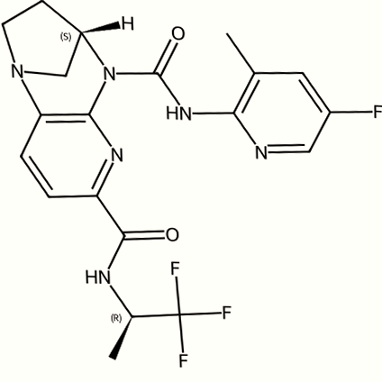 Cc1cc(F)cnc1NC(=O)N1c2nc(C(=O)N[C@H](C)C(F)(F)F)ccc2N2CC[C@H]1C2